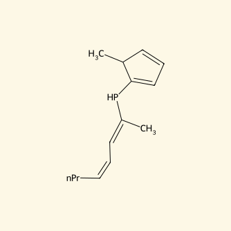 CCC/C=C\C=C(/C)PC1=CC=CC1C